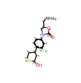 CC(=O)NCC1CN(c2ccc(C3CCSC(O)C3)c(F)c2)C(=O)O1